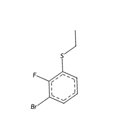 CCSc1cccc(Br)c1F